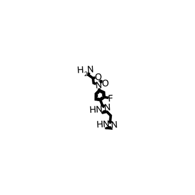 NCC1CN(c2ccc(-c3nc(Cc4ncc[nH]4)c[nH]3)c(F)c2)C(=O)O1